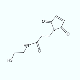 O=C(CCN1C(=O)C=CC1=O)NCCS